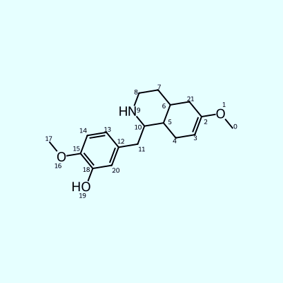 COC1=CCC2C(CCNC2Cc2ccc(OC)c(O)c2)C1